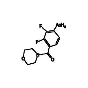 O=C(c1ccc([AsH2])c(F)c1F)N1CCOCC1